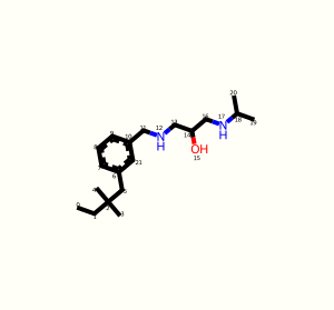 CCC(C)(C)Cc1cccc(CNCC(O)CNC(C)C)c1